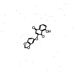 O=C1C=C(Oc2ccc3c(c2)OCO3)C(=O)c2c(O)cccc21